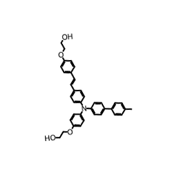 Cc1ccc(-c2ccc(N(c3ccc(C=Cc4ccc(OCCO)cc4)cc3)c3ccc(OCCO)cc3)cc2)cc1